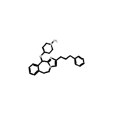 CN1CCC(OC2c3ccccc3CCn3cc(CCCc4ccccc4)nc32)CC1